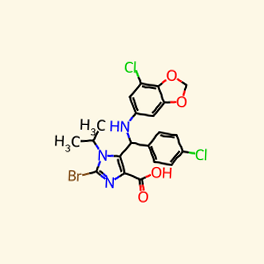 CC(C)n1c(Br)nc(C(=O)O)c1C(Nc1cc(Cl)c2c(c1)OCO2)c1ccc(Cl)cc1